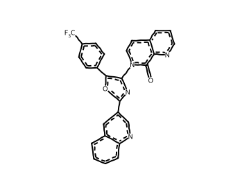 O=c1c2ncccc2ccn1-c1nc(-c2cnc3ccccc3c2)oc1-c1ccc(C(F)(F)F)cc1